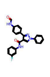 O=CNc1ccc(-c2nn(-c3ccccc3)cc2C(=O)Nc2cccc(F)c2)cc1